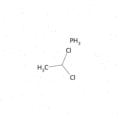 CC(Cl)Cl.P